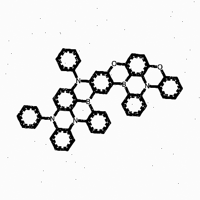 c1ccc(N2c3cc4c(cc3B3c5ccccc5N5c6ccccc6N(c6ccccc6)c6ccc2c3c65)B2c3ccccc3N3c5ccccc5Oc5ccc(c2c53)O4)cc1